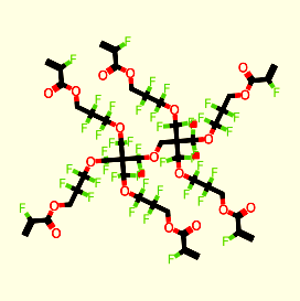 C=C(F)C(=O)OCC(F)(F)C(F)(F)OC(F)(F)C(COC(F)(F)C(C(F)(F)OC(F)(F)C(F)(F)COC(=O)C(=C)F)(C(F)(F)OC(F)(F)C(F)(F)COC(=O)C(=C)F)C(F)(F)OC(F)(F)C(F)(F)COC(=O)C(=C)F)(C(F)(F)OC(F)(F)C(F)(F)COC(=O)C(=C)F)C(F)(F)OC(F)(F)C(F)(F)COC(=O)C(=C)F